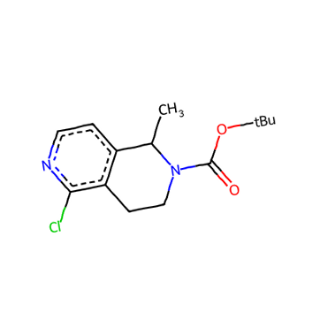 CC1c2ccnc(Cl)c2CCN1C(=O)OC(C)(C)C